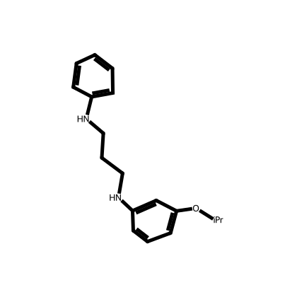 CC(C)Oc1cccc(NCCCNc2ccccc2)c1